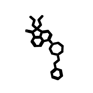 CCCC1(CCC)C(=O)c2cccc3c(N4CCCN(CCc5ccccc5)CC4)ccc1c23